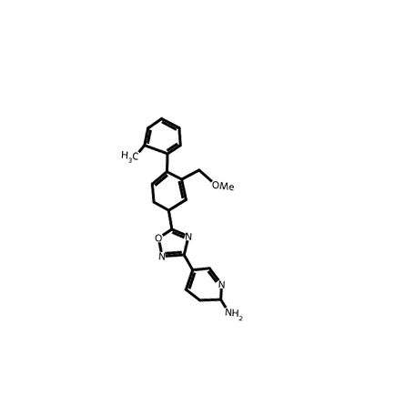 COCC1=CC(c2nc(C3=CCC(N)N=C3)no2)CC=C1c1ccccc1C